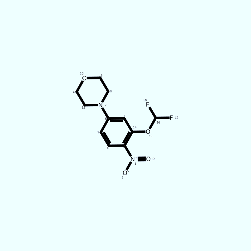 O=[N+]([O-])c1ccc(N2CCOCC2)cc1OC(F)F